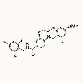 COc1cc(F)c(CN2C(=O)CSc3cc(C(=O)NCc4c(F)cc(F)cc4F)ccc32)c(F)c1